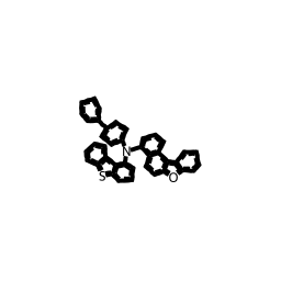 c1ccc(-c2ccc(N(c3cccc4c3ccc3oc5ccccc5c34)c3cccc4sc5ccccc5c34)cc2)cc1